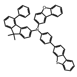 CC1(C)c2ccc(N(c3ccc(-c4ccc5c(c4)sc4ccccc45)cc3)c3ccc4oc5ccccc5c4c3)cc2-c2c(-c3ccccc3)cccc21